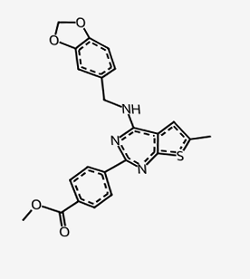 COC(=O)c1ccc(-c2nc(NCc3ccc4c(c3)OCO4)c3cc(C)sc3n2)cc1